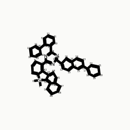 C[Si]1(C)c2cccc(-c3nc(-c4ccc5cc(-c6ccccc6)ccc5c4)nc(-c4ccccc4-c4ccccc4)n3)c2-c2ccc3ccccc3c21